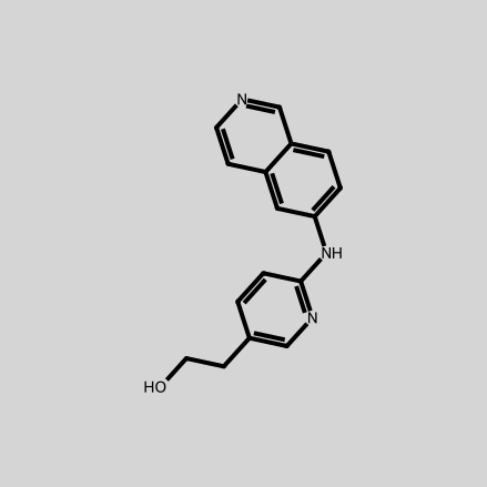 OCCc1ccc(Nc2ccc3cnccc3c2)nc1